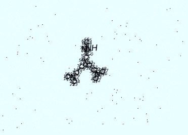 Cc1cc(-n2c3ccc(-c4ccc(N(c5ccccc5)c5ccccc5)cc4)cc3c3cc(-c4ccc(N(c5ccccc5)c5ccccc5)cc4)ccc32)c(C)cc1C1CNC(c2ccccc2)N(C)C1